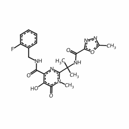 Cc1nnc(C(=O)NC(C)(C)c2nc(C(=O)NCc3ccccc3F)c(O)c(=O)n2C)o1